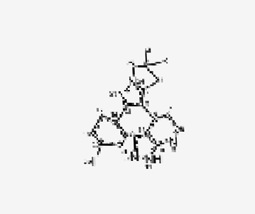 CC1(C)Cc2c(-c3ccnc4[nH]ncc34)c(-c3ccc(F)cc3)nn2C1